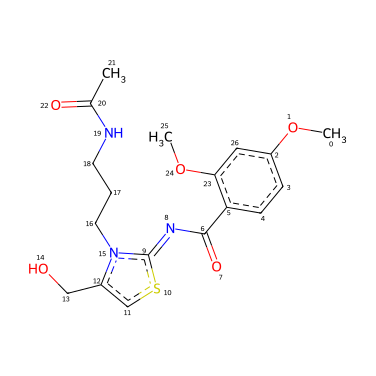 COc1ccc(C(=O)/N=c2\scc(CO)n2CCCNC(C)=O)c(OC)c1